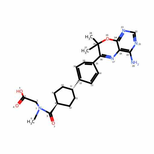 CN(CC(=O)O)C(=O)[C@H]1CC[C@H](c2ccc(C3=Nc4c(N)ncnc4OC3(C)C)cc2)CC1